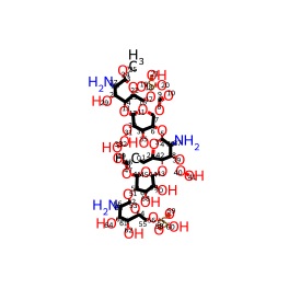 CCC1O[C@@H](OC2C(OC=O)OC(O[C@@H]3C(COS(=O)(=O)O)O[C@H](OC)C(N)[C@H]3O)[C@@H](OOO)[C@@H]2O)C(N)[C@@H](OOO)[C@@H]1O[C@@H]1OC(OC=O)[C@@H](O[C@H]2OC(COS(=O)(=O)O)[C@@H](O)[C@H](O)C2N)[C@H](O)C1O